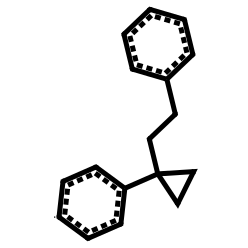 [c]1ccc(C2(CCc3ccccc3)CC2)cc1